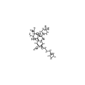 CCC(Nc1nc(N2CCC(F)(F)CC2)nc2cc(OCCCN3CCCC3)c(OC)cc12)C(O)N(C)C